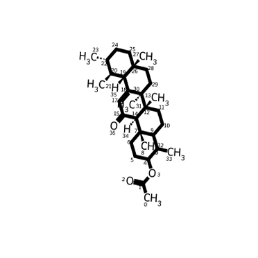 CC(=O)OC1CC[C@@]2(C)C(CC[C@]3(C)[C@@H]2C(=O)C=C2[C@@H]4[C@@H](C)[C@H](C)CC[C@]4(C)CC[C@]23C)C1C